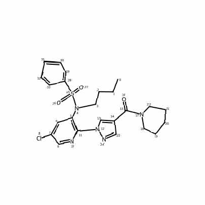 CCCCN(c1cc(Cl)cnc1-n1cc(C(=O)N2CCCCC2)cn1)S(=O)(=O)c1ccccc1